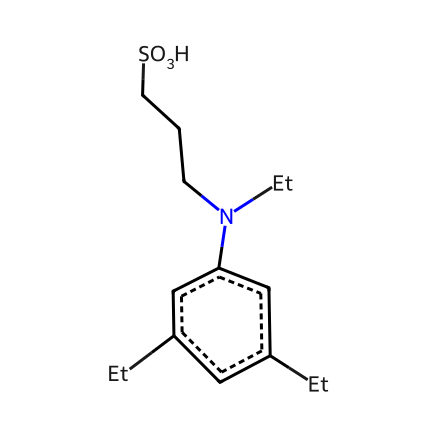 CCc1cc(CC)cc(N(CC)CCCS(=O)(=O)O)c1